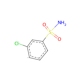 NS(=O)(=O)c1cc[c]c(Cl)c1